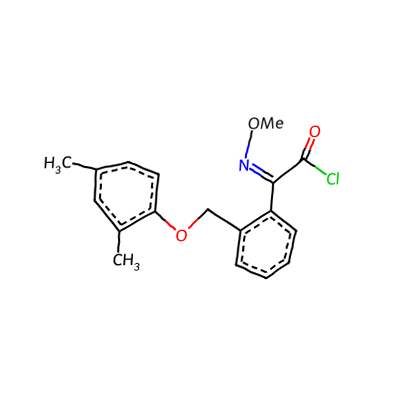 CON=C(C(=O)Cl)c1ccccc1COc1ccc(C)cc1C